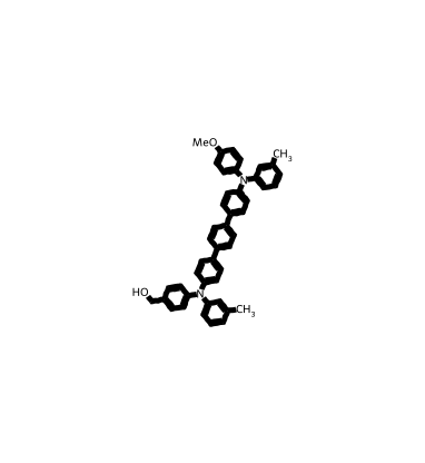 COc1ccc(N(c2ccc(-c3ccc(-c4ccc(N(c5ccc(CO)cc5)c5cccc(C)c5)cc4)cc3)cc2)c2cccc(C)c2)cc1